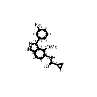 COc1c(NC(=O)C2CC2)ccc2[nH]nc(-c3cccc(F)c3)c12